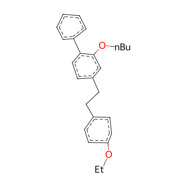 CCCCOc1cc(CCc2ccc(OCC)cc2)ccc1-c1ccccc1